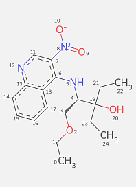 CCOC[C@@H](Nc1c([N+](=O)[O-])cnc2ccccc12)C(O)(CC)CC